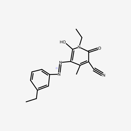 CCc1cccc(/N=N/c2c(C)c(C#N)c(=O)n(CC)c2O)c1